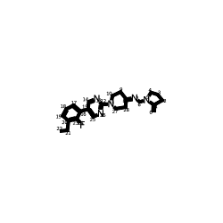 C=C1CCCN1CN=C1CCN(c2ncc(-c3cccc(CC)c3F)cn2)CC1